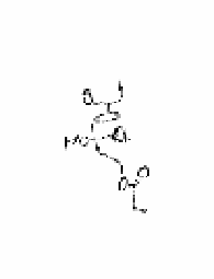 C=CC(=O)OCCC(O)(O)COC(=O)C=C